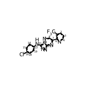 FC(F)(F)c1cccnc1-c1cnn2c(Nc3ccc(Cl)cc3)nnc2n1